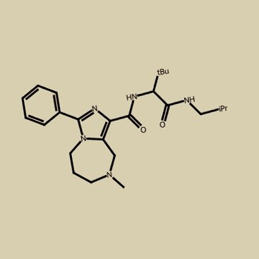 CC(C)CNC(=O)C(NC(=O)c1nc(-c2ccccc2)n2c1CN(C)CCC2)C(C)(C)C